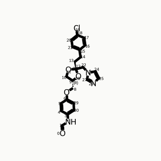 O=CNc1ccc(OC[C@@H]2CO[C@](CCc3ccc(Cl)cc3)(Cn3ccnc3)O2)cc1